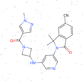 Cn1cc(C(=O)N2CC(Nc3cncc(N4C(=O)c5ccc(C#N)cc5C4(C)C)c3)C2)cn1